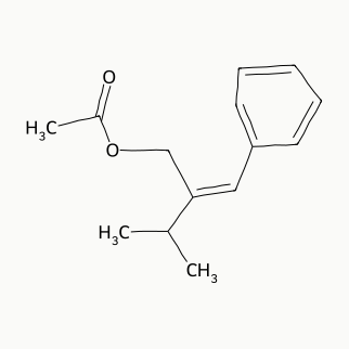 CC(=O)OCC(=Cc1ccccc1)C(C)C